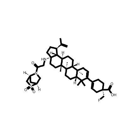 C=C(C)[C@@H]1CC[C@]2(NCC(=O)N3C[C@@H]4C[C@H]3CS4(=O)=O)CC[C@]3(C)[C@H](CC[C@@H]4[C@@]5(C)CC=C(C6=CC[C@](CF)(C(=O)O)CC6)C(C)(C)[C@@H]5CC[C@]43C)[C@@H]12